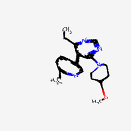 CCc1ncnc(N2CCC(OC)CC2)c1-c1ccc(C)nc1